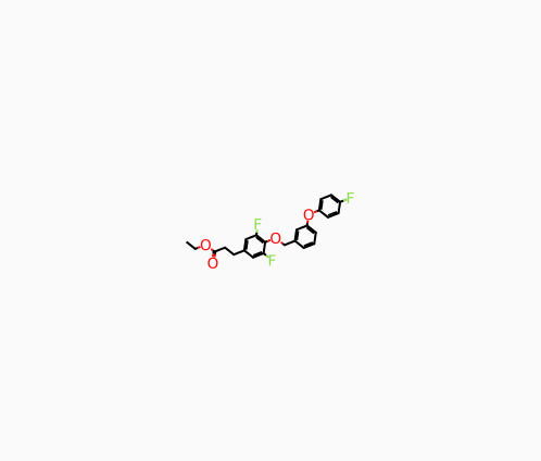 CCOC(=O)CCc1cc(F)c(OCc2cccc(Oc3ccc(F)cc3)c2)c(F)c1